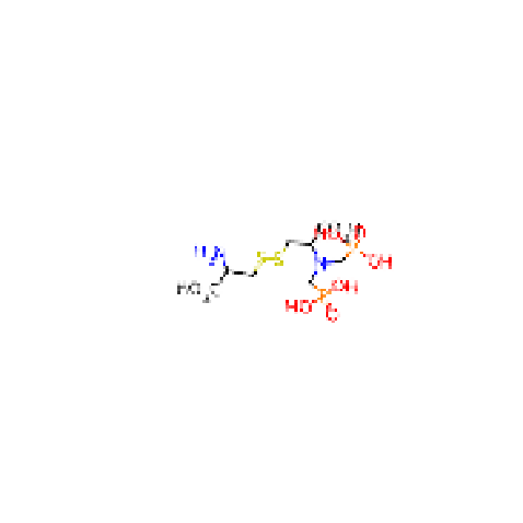 NC(CSSCC(C(=O)O)N(CP(=O)(O)O)CP(=O)(O)O)C(=O)O